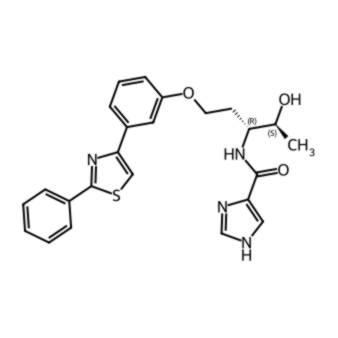 C[C@H](O)[C@@H](CCOc1cccc(-c2csc(-c3ccccc3)n2)c1)NC(=O)c1c[nH]cn1